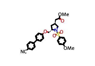 COC(=O)C[C@@H]1C[C@@H](COc2ccc(-c3ccc(C#N)cc3)cc2)N(S(=O)(=O)c2ccc(OC)cc2)C1